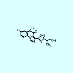 CC(CO)c1noc(-c2ncn3c2c(=O)n(C(C)C)c2cc(F)ccc23)n1